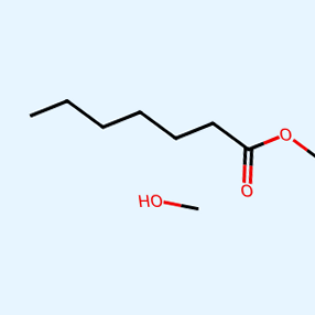 CCCCCCC(=O)OC.CO